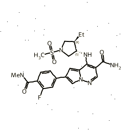 CC[C@@H]1CN(S(C)(=O)=O)C[C@H]1Nc1c(C(N)=O)cnn2cc(-c3ccc(C(=O)NC)c(F)c3)cc12